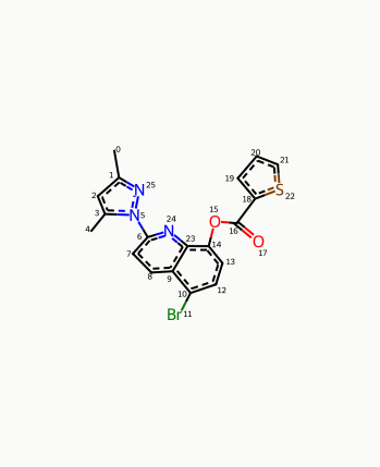 Cc1cc(C)n(-c2ccc3c(Br)ccc(OC(=O)c4cccs4)c3n2)n1